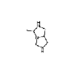 CC1NCC2CNCN21